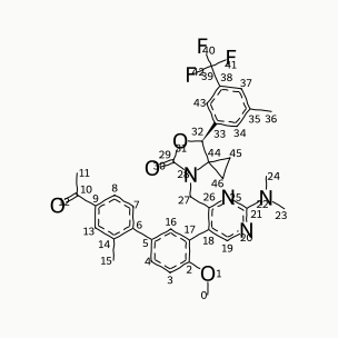 COc1ccc(-c2ccc(C(C)=O)cc2C)cc1-c1cnc(N(C)C)nc1CN1C(=O)O[C@@H](c2cc(C)cc(C(F)(F)F)c2)C12CC2